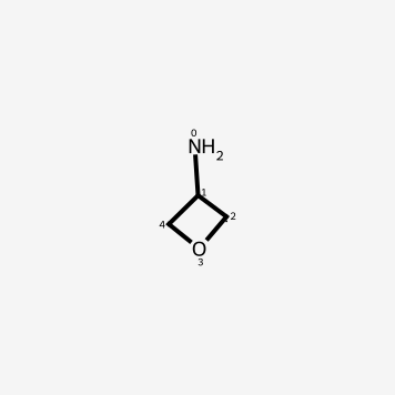 NC1[CH]OC1